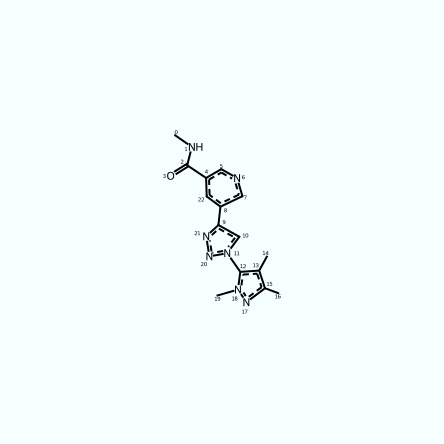 CNC(=O)c1cncc(-c2cn(-c3c(C)c(C)nn3C)nn2)c1